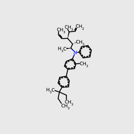 C=CC(C)[C@H](/C=C\C)[C@H](C)[C@H](C)N(c1ccccc1)c1ccc(-c2ccc(C(C)(CC)CC)cc2)cc1C